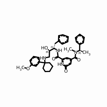 COc1cccc(C2(NC[C@@H](O)[C@H](Cc3ccccc3)NC(=O)c3cc(C(=O)N(C)[C@H](C)c4ccccc4)cc(=O)[nH]3)CCCCC2)c1